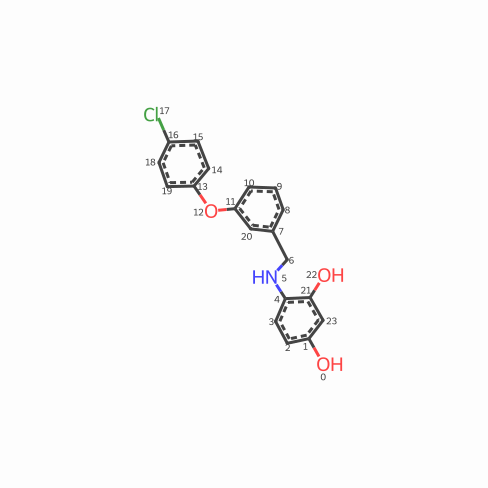 Oc1ccc(NCc2cccc(Oc3ccc(Cl)cc3)c2)c(O)c1